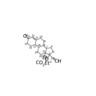 C#CC1(OC(=O)OCC)CCC2C3CCC4=CC(=O)CCC4C3CCC21CC